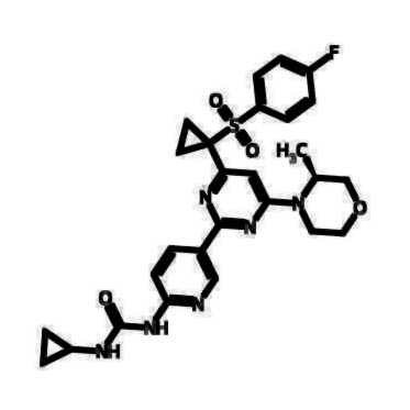 C[C@H]1COCCN1c1cc(C2(S(=O)(=O)c3ccc(F)cc3)CC2)nc(-c2ccc(NC(=O)NC3CC3)nc2)n1